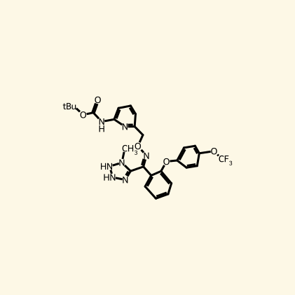 CN1NNN=C1/C(=N\OCc1cccc(NC(=O)OC(C)(C)C)n1)c1ccccc1Oc1ccc(OC(F)(F)F)cc1